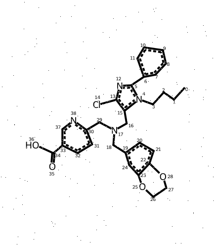 CCCCn1c(-c2ccccc2)nc(Cl)c1CN(Cc1ccc2c(c1)OCCO2)Cc1ccc(C(=O)O)cn1